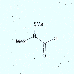 CSN(SC)C(=O)Cl